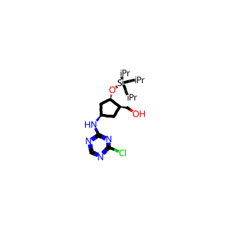 CC(C)[Si](O[C@H]1C[C@H](Nc2ncnc(Cl)n2)C[C@@H]1CO)(C(C)C)C(C)C